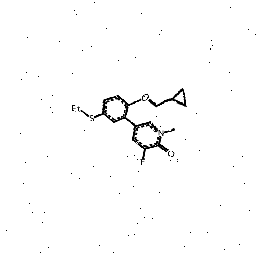 CCSc1ccc(OCC2CC2)c(-c2cc(F)c(=O)n(C)c2)c1